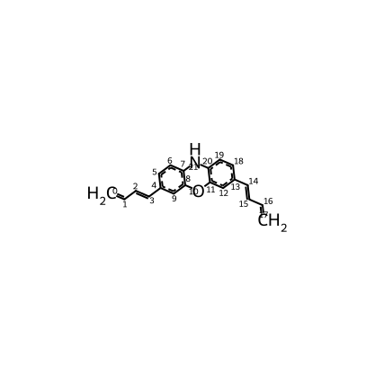 C=CC=Cc1ccc2c(c1)Oc1cc(C=CC=C)ccc1N2